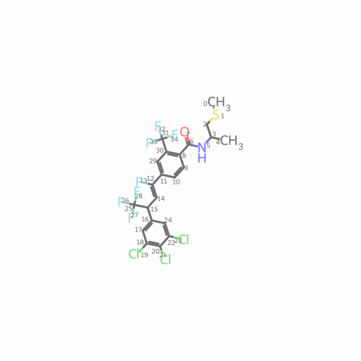 CSCC(C)NC(=O)c1ccc(/C(F)=C/C(c2cc(Cl)c(Cl)c(Cl)c2)C(F)(F)F)cc1C(F)(F)F